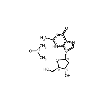 C[S+](C)[O-].Nc1nc(=O)c2ncn([C@H]3C[C@H](O)[C@@H](CO)O3)c2[nH]1